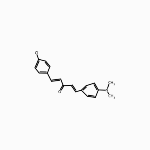 CN(C)c1ccc(/C=C/C(=O)/C=C/c2ccc(Cl)cc2)cc1